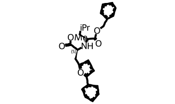 COC(=O)[C@H](Cc1ccc(-c2ccccc2)o1)N[C@@H](CC(C)C)C(=O)OCc1ccccc1